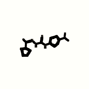 C/C(=N/NC(=S)Nc1ccc(C(C)C)cc1)c1ccco1